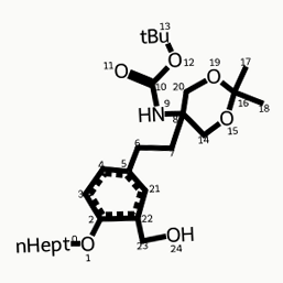 CCCCCCCOc1ccc(CCC2(NC(=O)OC(C)(C)C)COC(C)(C)OC2)cc1CO